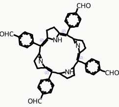 O=Cc1ccc(/C2=C3\CC/C(=C(\c4ccc(C=O)cc4)C4=N/C(=C(/c5ccc(C=O)cc5)C5CCC(N5)/C(c5ccc(C=O)cc5)=C5/CCC2=N5)CC4)N3)cc1